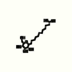 OC[C@H]1O[C@@H](CCCCCCCCCCCC(S)S)[C@H](O)[C@@H](O)[C@@H]1O